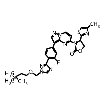 Cc1csc(C2COC(=O)N2c2ccn3ncc(-c4ccc(-c5ncn(COCC[Si](C)(C)C)n5)c(F)c4)c3n2)n1